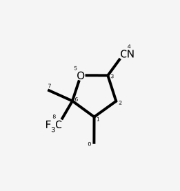 CC1CC(C#N)OC1(C)C(F)(F)F